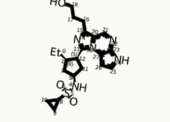 CC[C@@H]1C[C@H](NS(=O)(=O)C2CC2)C[C@@H]1c1nc(CCCO)c2cnc3[nH]ccc3n12